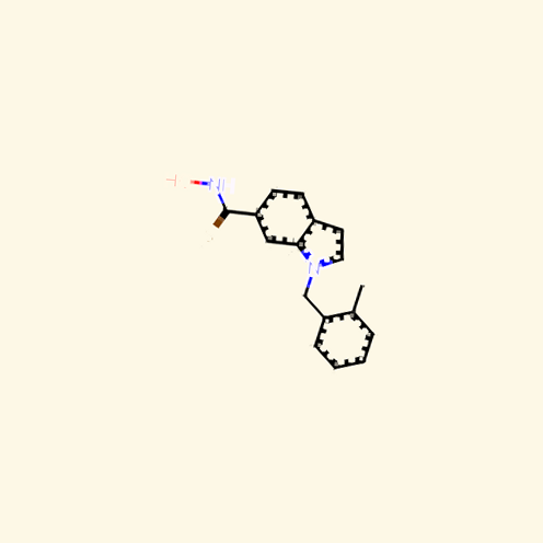 Cc1ccccc1Cn1ccc2ccc(C(=S)NO)cc21